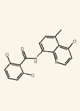 Cc1ccc(NC(=O)c2c(Cl)cccc2Cl)c2nccc(Cl)c12